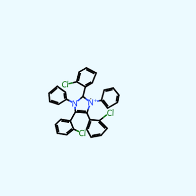 Clc1ccccc1C1=C(c2ccccc2Cl)[N+](c2ccccc2)C(c2ccccc2Cl)N1c1ccccc1